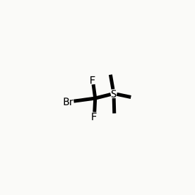 CS(C)(C)C(F)(F)Br